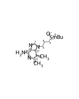 CCCC[S+]([O-])CCCn1cnc2c(N)nc(C)c(C)c21